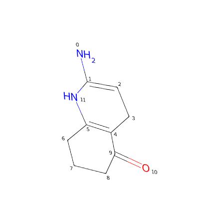 NC1=CCC2=C(CCCC2=O)N1